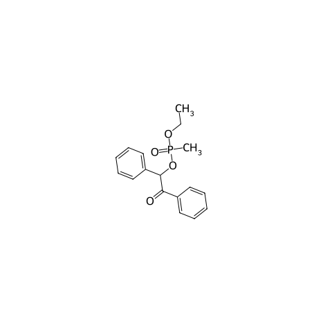 CCOP(C)(=O)OC(C(=O)c1ccccc1)c1ccccc1